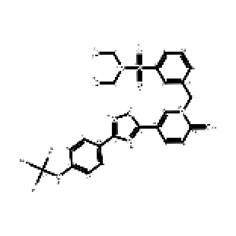 CCN(CC)S(=O)(=O)c1cccc(Cn2cc(-c3nc(-c4ccc(OC(F)(F)F)cc4)no3)ccc2=O)c1